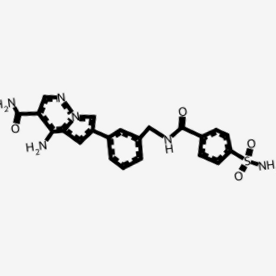 NC(=O)c1cnn2cc(-c3cccc(CNC(=O)c4ccc(S(N)(=O)=O)cc4)c3)cc2c1N